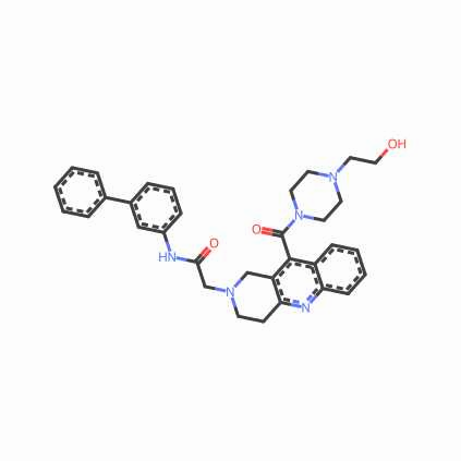 O=C(CN1CCc2nc3ccccc3c(C(=O)N3CCN(CCO)CC3)c2C1)Nc1cccc(-c2ccccc2)c1